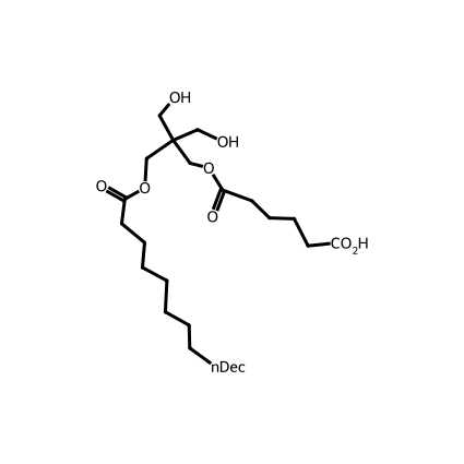 CCCCCCCCCCCCCCCCCC(=O)OCC(CO)(CO)COC(=O)CCCCC(=O)O